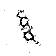 OCc1cnc(Oc2cccc(C(F)(F)F)c2)c(F)c1